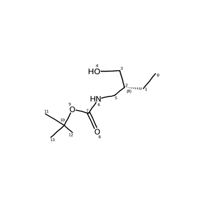 CC[C@@H](CO)CNC(=O)OC(C)(C)C